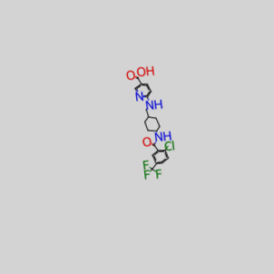 O=C(O)c1ccc(NCC2CCC(NC(=O)c3cc(C(F)(F)F)ccc3Cl)CC2)nc1